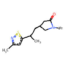 Cc1cc(C(C)CC2CC(=O)N(C(C)C)C2)sn1